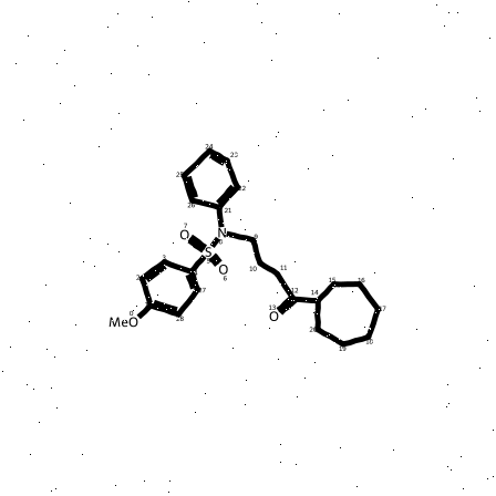 COc1ccc(S(=O)(=O)N(CCCC(=O)C2CCCCCC2)c2ccccc2)cc1